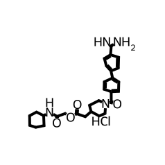 Cl.N=C(N)c1ccc(-c2ccc(C(=O)N3CCC(CC(=O)OCC(=O)NC4CCCCC4)CC3)cc2)cc1